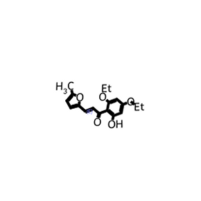 CCOc1cc(O)c(C(=O)/C=C/c2ccc(C)o2)c(OCC)c1